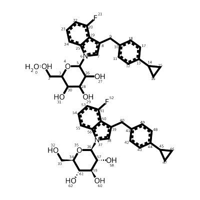 O.OCC1OC(n2cc(Cc3ccc(C4CC4)cc3)c3c(F)cccc32)C(O)C(O)C1O.OC[C@H]1O[C@@H](n2cc(Cc3ccc(C4CC4)cc3)c3c(F)cccc32)[C@H](O)[C@@H](O)[C@@H]1O